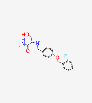 CNC(=O)C(CO)N(C)Cc1ccc(OCc2ccccc2F)cc1